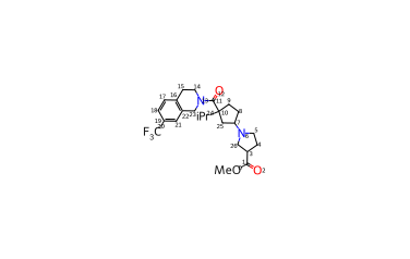 COC(=O)C1CCN(C2CCC(C(=O)N3CCc4ccc(C(F)(F)F)cc4C3)(C(C)C)C2)C1